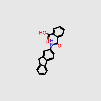 O=C(O)c1ccccc1C(=O)Nc1ccc2c(c1)Cc1ccccc1-2